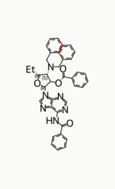 CC[C@H]1O[C@@H](n2cnc3c(NC(=O)c4ccccc4)ncnc32)C(OC(=O)c2ccccc2)[C@H]1N(Cc1ccccc1)Cc1ccccc1